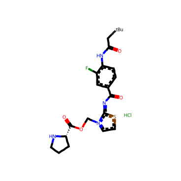 CC(C)(C)CC(=O)Nc1ccc(C(=O)/N=c2\sccn2COC(=O)[C@@H]2CCCN2)cc1F.Cl